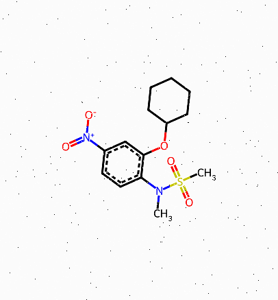 CN(c1ccc([N+](=O)[O-])cc1OC1CCCCC1)S(C)(=O)=O